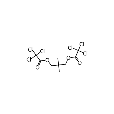 CC(C)(COC(=O)C(Cl)(Cl)Cl)COC(=O)C(Cl)(Cl)Cl